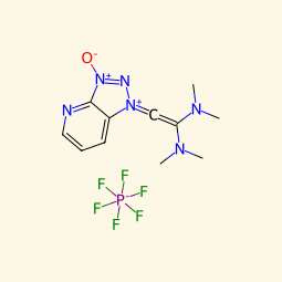 CN(C)C(=C=[N+]1N=[N+]([O-])c2ncccc21)N(C)C.F[P-](F)(F)(F)(F)F